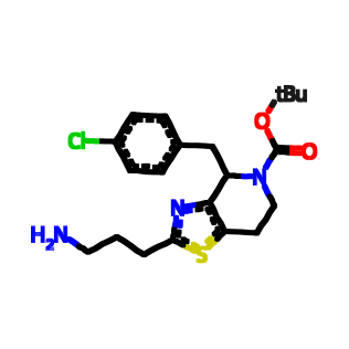 CC(C)(C)OC(=O)N1CCc2sc(CCCN)nc2C1Cc1ccc(Cl)cc1